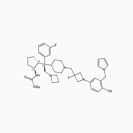 COC(=O)N[C@H]1CCC[C@@H]1[C@](CN1CCC1)(c1cccc(F)c1)C1CCN(CC2(F)CN(c3ccc(C#N)c(Cn4cccc4)c3)C2)CC1